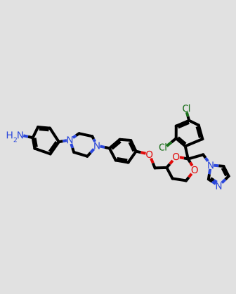 Nc1ccc(N2CCN(c3ccc(OCC4CCOC(Cn5ccnc5)(c5ccc(Cl)cc5Cl)O4)cc3)CC2)cc1